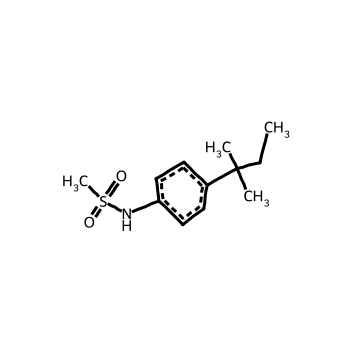 CCC(C)(C)c1ccc(NS(C)(=O)=O)cc1